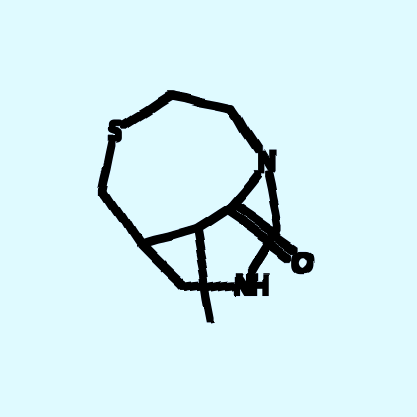 CC1C(=O)N2CCSCC1CNC2